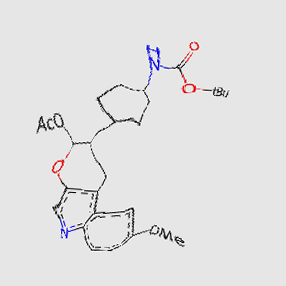 COc1ccc2ncc3c(c2c1)CC(C1CCC(NC(=O)OC(C)(C)C)CC1)C(OC(C)=O)O3